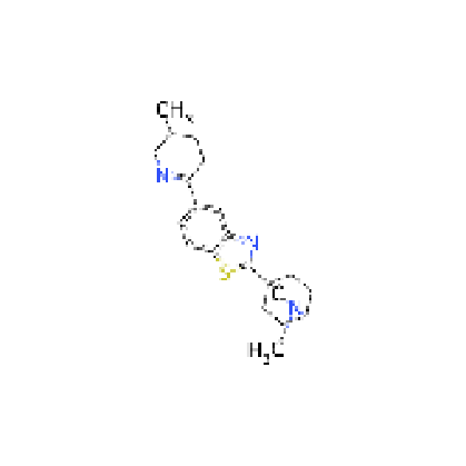 CC1CCC(c2ccc3sc(C45CCC(CC4)N(C)C5)nc3c2)=NC1